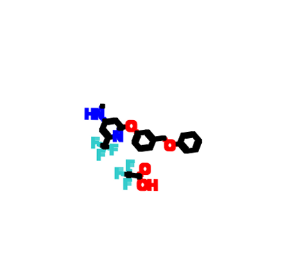 CNc1cc(Oc2cccc(COc3ccccc3)c2)nc(C(F)(F)F)c1.O=C(O)C(F)(F)F